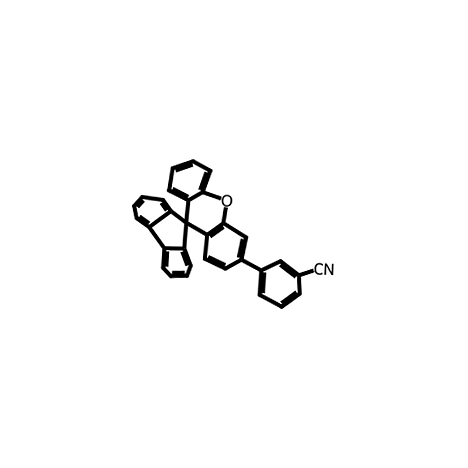 N#Cc1cccc(-c2ccc3c(c2)Oc2ccccc2C32c3ccccc3-c3ccccc32)c1